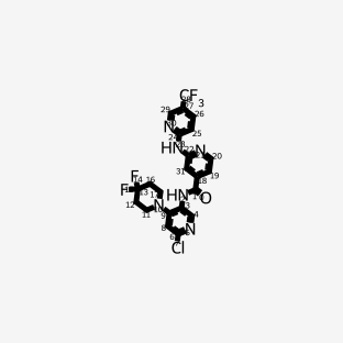 O=C(Nc1cnc(Cl)cc1N1CCC(F)(F)CC1)c1ccnc(Nc2ccc(C(F)(F)F)cn2)c1